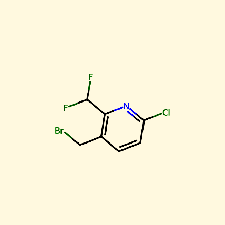 FC(F)c1nc(Cl)ccc1CBr